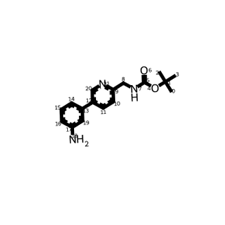 CC(C)(C)OC(=O)NCc1ccc(-c2cccc(N)c2)cn1